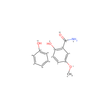 COc1ccc(O)c(C(N)=O)c1.Oc1ccccc1